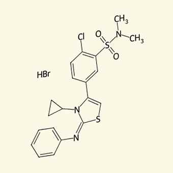 Br.CN(C)S(=O)(=O)c1cc(-c2csc(=Nc3ccccc3)n2C2CC2)ccc1Cl